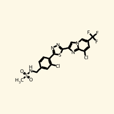 CS(=O)(=O)NCc1ccc(-c2nnc(-c3cn4cc(C(F)(F)F)cc(Cl)c4n3)s2)c(Cl)c1